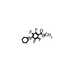 COC(=O)c1c(F)c(F)c(N2C3CCCCC32)c(F)c1F